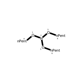 CCCCC[O][In]([O]CCCCC)[O]CCCCC